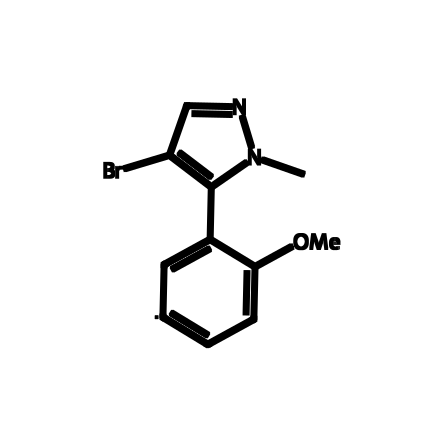 COc1cc[c]cc1-c1c(Br)cnn1C